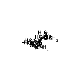 COc1ccc(C(O)CNc2nc(N)c3ncn([C@@H]4O[C@H](CO)[C@@H](O)[C@H]4O)c3n2)cc1OC